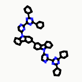 c1ccc(-c2nc(-c3ccccc3)nc(-c3nccc(-n4c5ccccc5c5cc(-c6ccc7c(c6)c6ccccc6n7-c6ccnc(-c7nc(-c8ccccc8)nc(-c8ccccc8)n7)n6)ccc54)n3)n2)cc1